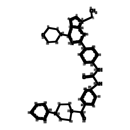 CCn1ccc2c(N3CCOCC3)nc(-c3ccc(NC(=O)Nc4ccc(C(=O)N5CCN(c6ccccn6)CC5)cc4)cc3)nc21